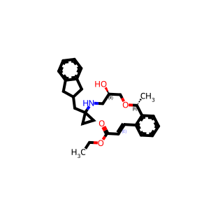 CCOC(=O)/C=C/c1ccccc1[C@@H](C)OC[C@H](O)CNC1(CC2Cc3ccccc3C2)CC1